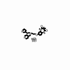 CN1C(=O)C(C)(C)C(=O)N(C)c2cc(OCCCN(CCc3cccnc3)Cc3ccncc3)ccc21.Cl.Cl.Cl